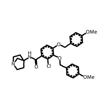 COc1ccc(COc2ccc(C(=O)NC34CCN(CC3)C4)c(Cl)c2OCc2ccc(OC)cc2)cc1